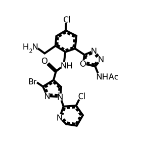 CC(=O)Nc1nnc(-c2cc(Cl)cc(CN)c2NC(=O)c2cn(-c3ncccc3Cl)nc2Br)o1